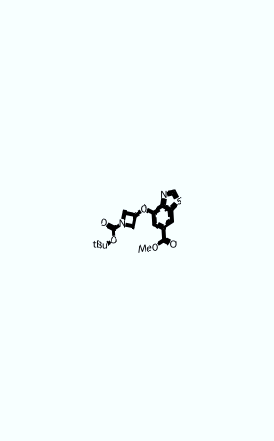 COC(=O)c1cc(OC2CN(C(=O)OC(C)(C)C)C2)c2ncsc2c1